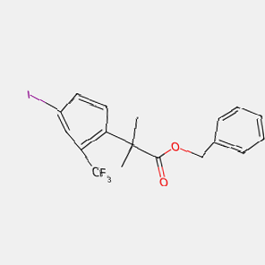 CC(C)(C(=O)OCc1ccccc1)c1ccc(I)cc1C(F)(F)F